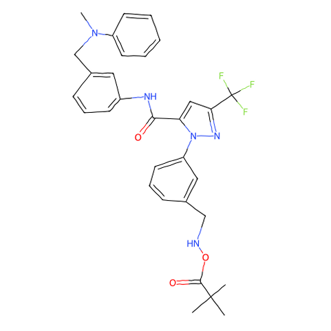 CN(Cc1cccc(NC(=O)c2cc(C(F)(F)F)nn2-c2cccc(CNOC(=O)C(C)(C)C)c2)c1)c1ccccc1